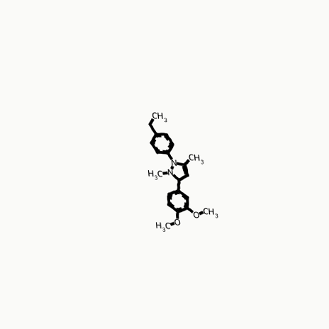 CCc1ccc(N2C(C)=CC(c3ccc(OC)c(OC)c3)N2C)cc1